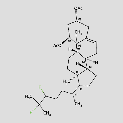 CC(=O)O[C@@H]1CC2=CC[C@H]3[C@@H]4CC[C@H]([C@H](C)CCC(F)C(C)(C)F)[C@@]4(C)CC[C@@H]3[C@@]2(C)[C@@H](OC(C)=O)C1